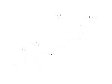 COc1ccc(CCNc2ncnc(C(F)(F)F)c2Cl)cc1OC